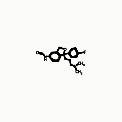 CN(C)CCCC1(c2ccc(F)cc2)OCc2cc(NC=O)ccc21